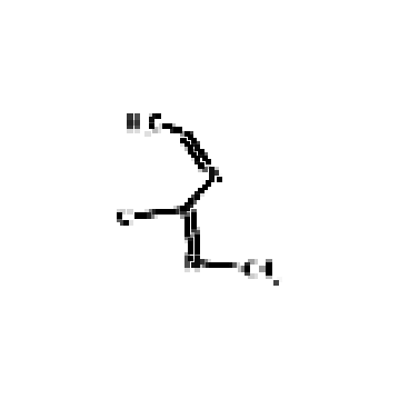 C/C=N\C(Cl)=N/C